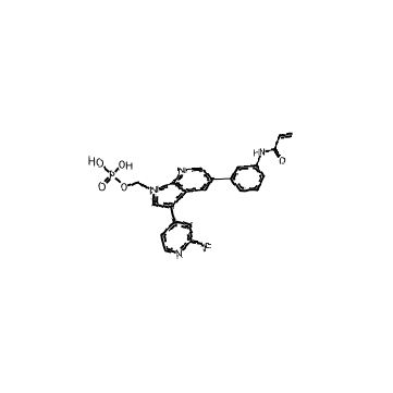 C=CC(=O)Nc1cccc(-c2cnc3c(c2)c(-c2ccnc(F)c2)cn3COP(=O)(O)O)c1